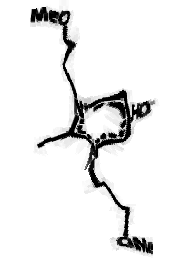 COCCn1cc[n+](CCOC)c1C.[OH-]